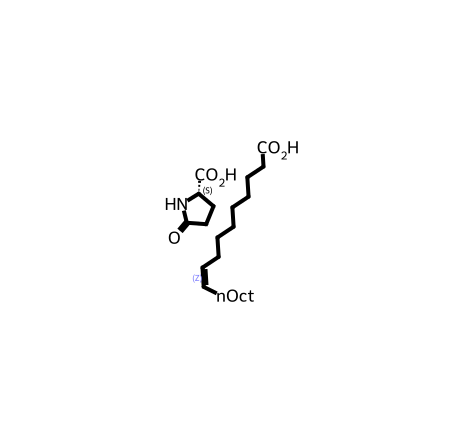 CCCCCCCC/C=C\CCCCCCCC(=O)O.O=C1CC[C@@H](C(=O)O)N1